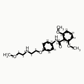 COCCNCCOc1ccc(NC(=O)c2c(OC)cccc2OC)cc1